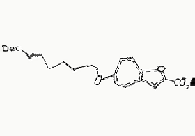 CCCCCCCCCCCCCCCCOc1ccc2oc(C(=O)O)cc2c1